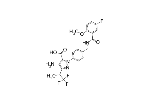 COc1ccc(F)cc1C(=O)NCc1ccc(-n2nc(C(C)C(F)(F)F)c(N)c2C(=O)O)cc1